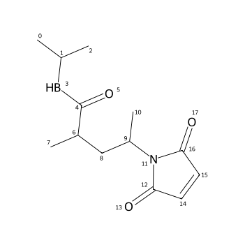 CC(C)BC(=O)C(C)CC(C)N1C(=O)C=CC1=O